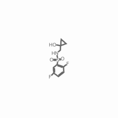 O=S(=O)(NCC1(O)CC1)c1cc(F)ccc1F